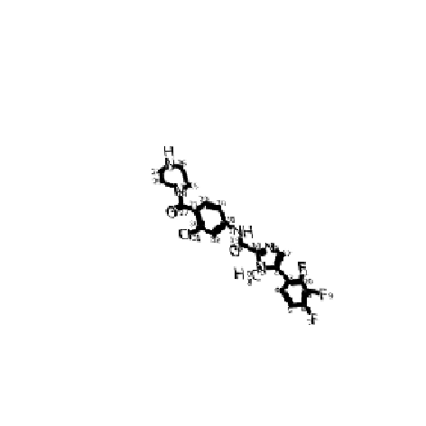 Cn1c(-c2ccc(F)c(F)c2F)cnc1C(=O)Nc1ccc(C(=O)N2CCNCC2)c(Cl)c1